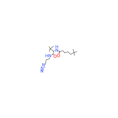 CC(C)(C)CCCCC(=O)NC(C(=O)NCCCN=[N+]=[N-])C(C)(C)C